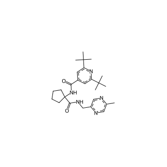 Cc1cnc(CNC(=O)C2(NC(=O)c3cc(C(C)(C)C)nc(C(C)(C)C)c3)CCCC2)cn1